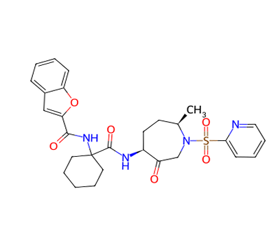 C[C@@H]1CC[C@H](NC(=O)C2(NC(=O)c3cc4ccccc4o3)CCCCC2)C(=O)CN1S(=O)(=O)c1ccccn1